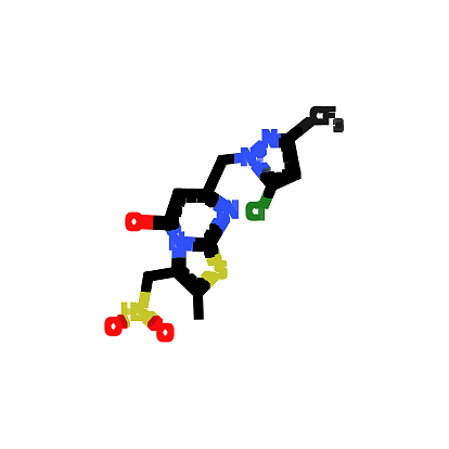 Cc1sc2nc(Cn3nc(C(F)(F)F)cc3Cl)cc(=O)n2c1C[SH](=O)=O